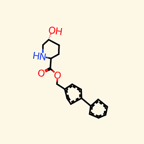 O=C(OCc1ccc(-c2ccccc2)cc1)C1CC[C@@H](O)CN1